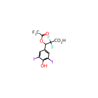 O=C(OC(c1cc(I)c(O)c(I)c1)C(F)(F)C(=O)O)C(F)(F)F